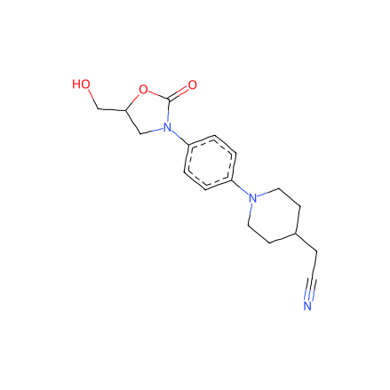 N#CCC1CCN(c2ccc(N3CC(CO)OC3=O)cc2)CC1